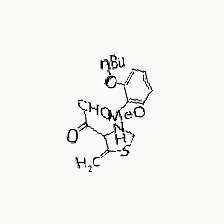 C=C1SCNC1C(=O)C=O.CCCCOc1ccccc1OC